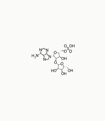 Nc1ncnc2c1ncn2[C@@H]1O[C@H](COS(=O)(=O)O)[C@@H](O)[C@H]1OC1O[C@H](CO)[C@@H](O)[C@H]1O